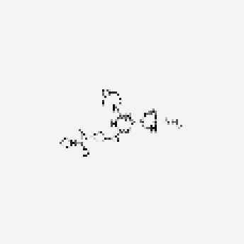 CN(C(=O)N1CCC1)[C@H]1C[C@H](Oc2cc(-c3cnc(N)nc3)nc(N3CCOCC3)n2)C1